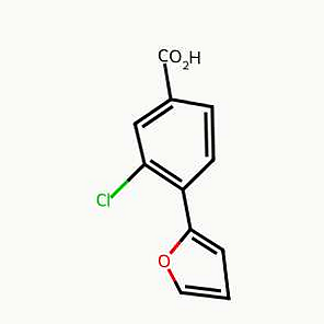 O=C(O)c1ccc(-c2ccco2)c(Cl)c1